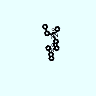 C1=CC(c2cccc(-c3nc(-c4ccc5c(c4)oc4c(-n6c7ccccc7c7cc8ccccc8cc76)cccc45)nc4c3sc3ccccc34)c2)=CCC1